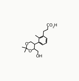 Cc1c(CCC(=O)O)cccc1C1COC(C)(C)OC1CO